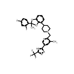 Cc1cc(-c2nnc(C(F)(F)F)[nH]2)cnc1CN1CCC(c2cccc3c2OC(C)(c2ccc(F)cc2F)O3)CC1